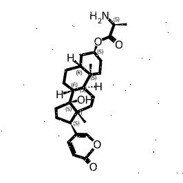 C[C@H](N)C(=O)O[C@H]1CC[C@@]2(C)[C@H](CC[C@@H]3[C@@H]2CC[C@]2(C)[C@@H](c4ccc(=O)oc4)CC[C@]32O)C1